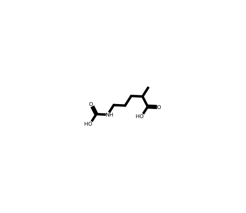 CC(CCCNC(=O)O)C(=O)O